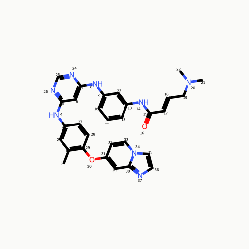 Cc1cc(Nc2cc(Nc3cccc(NC(=O)/C=C/CN(C)C)c3)ncn2)ccc1Oc1ccn2ccnc2c1